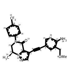 COCc1cc(C#Cc2cnn3c2C(=O)N(c2ccc(C(F)(F)F)cc2)C[C@@H]3C)cnc1N